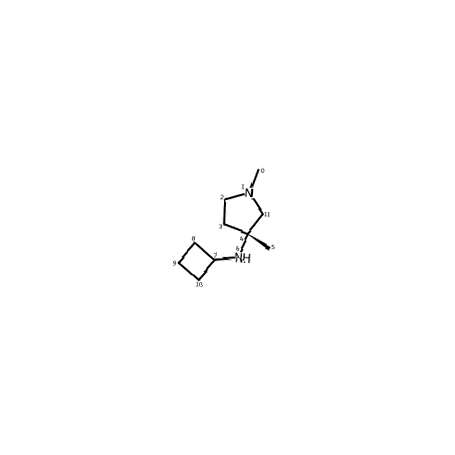 CN1CC[C@@](C)(NC2CCC2)C1